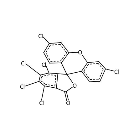 O=C1OC2(c3ccc(Cl)cc3Oc3cc(Cl)ccc32)c2c(Cl)c(Cl)c(Cl)c(Cl)c21